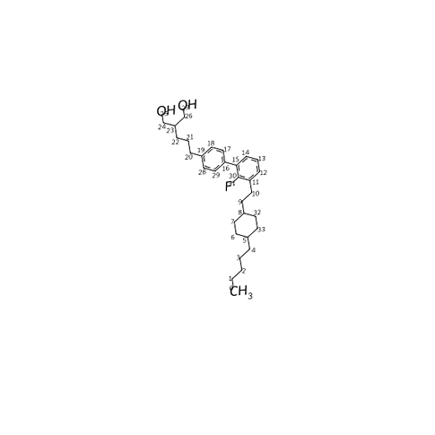 CCCCCC1CCC(CCc2cccc(-c3ccc(CCCC(CO)CO)cc3)c2F)CC1